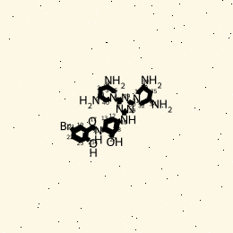 N[C@@H]1C[C@H](N)CN(c2nc(Nc3ccc(NC(=O)c4cc(Br)ccc4O)c(O)c3)nc(N3C[C@H](N)C[C@H](N)C3)n2)C1